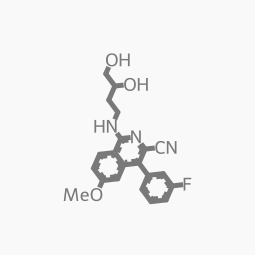 COc1ccc2c(NCCC(O)CO)nc(C#N)c(-c3cccc(F)c3)c2c1